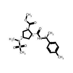 COC(=O)[C@@H]1C[C@@H](N(C)S(C)(=O)=O)C[C@H]1C(=O)N[C@@H](C)c1ccc(C)cc1